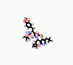 CC(C)(C)Cc1cnc2c(c1)C(N1CC(C(Cc3ccc4c(c3)OCO4)NC(=O)OC(C)(C)C)OC1=O)CC1(CCC1)O2